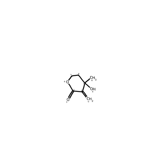 C=C1C(=O)OCCC1(C)O